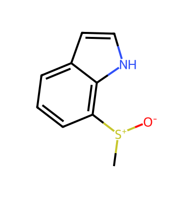 C[S+]([O-])c1cccc2cc[nH]c12